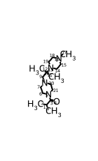 CC(C)C(=O)N1CCN(CC(C)(C)N2CCN(C)CC2)CC1